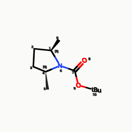 C[C@@H]1CC[C@@H](C)N1C(=O)OC(C)(C)C